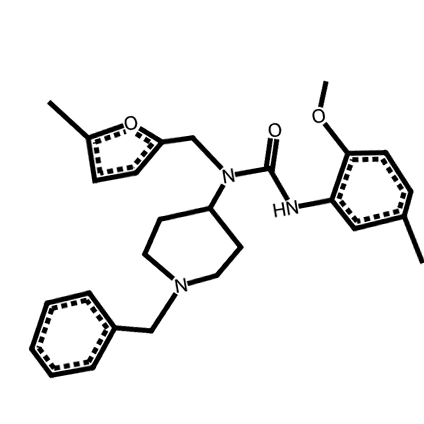 COc1ccc(C)cc1NC(=O)N(Cc1ccc(C)o1)C1CCN(Cc2ccccc2)CC1